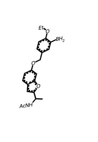 Bc1cc(COc2ccc3cc(C(C)NC(C)=O)oc3c2)ccc1OCC